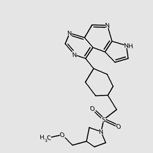 COCC1CCN(S(=O)(=O)CC2CCC(c3ncnc4cnc5[nH]ccc5c34)CC2)C1